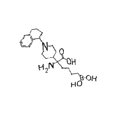 NC(CCCCB(O)O)(C(=O)O)C1CCN(C2CCCc3ccccc32)CC1